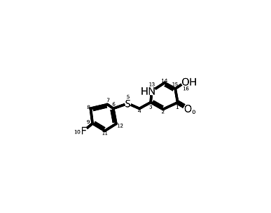 O=c1cc(CSc2ccc(F)cc2)[nH]cc1O